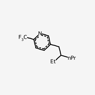 CCCC(CC)Cc1ccc(C(F)(F)F)nc1